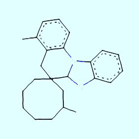 CCCc1cccc2c1CC1(CCCCCC(C)C1)C1Nc3ccccc3N21